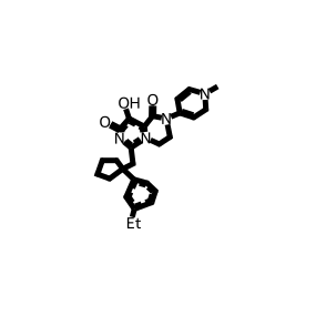 CCc1cccc(C2(Cc3nc(=O)c(O)c4n3CCN(C3=CCN(C)C=C3)C4=O)CCCC2)c1